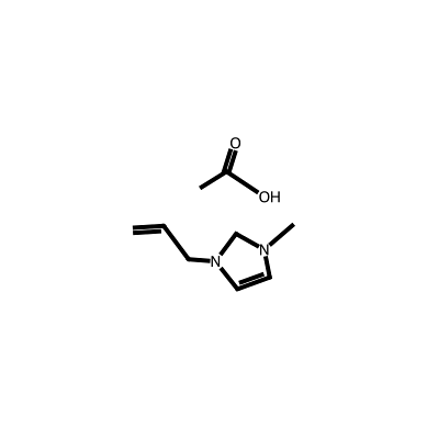 C=CCN1C=CN(C)C1.CC(=O)O